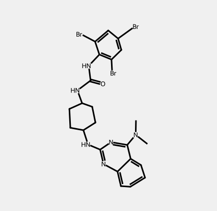 CN(C)c1nc(NC2CCC(NC(=O)Nc3c(Br)cc(Br)cc3Br)CC2)nc2ccccc12